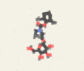 CC(C)c1cccc(C(C)C)c1OC(=O)N(CCO[C@@H]1O[C@H](CO)[C@@H](O)[C@H](O)[C@H]1O)CC(=O)O